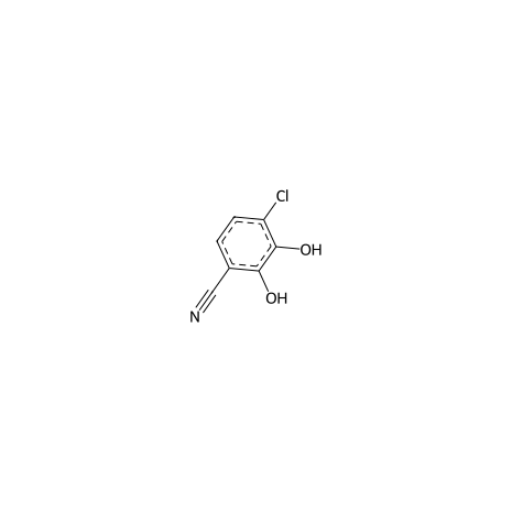 N#Cc1ccc(Cl)c(O)c1O